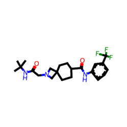 CC(C)(C)NC(=O)CN1CC2(CCC(C(=O)Nc3cccc(C(F)(F)F)c3)CC2)C1